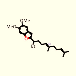 CCC(CC/C=C(\C)CCC=C(C)C)c1cc2cc(OC)c(OC)cc2o1